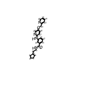 O=C(NCCC1CCCC1)c1cccc(Nc2ccc(OCc3ccccn3)cn2)c1